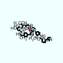 COc1cc(N2CCN(S(=O)(=O)CC(=O)NC(C(=O)N3C[C@H](O)C[C@H]3C(=O)N[C@@H](C)c3ccc(-c4scnc4C)cc3)C(C)(C)C)CC2)ccc1NC(=O)c1cccc(-c2ccn[nH]2)n1